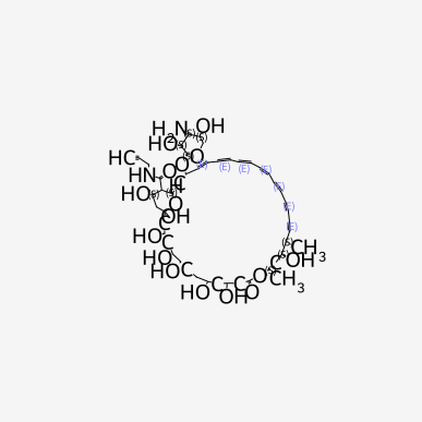 C#CCNC(=O)C1[C@@H]2CC(O[C@@H]3OC[C@@H](O)[C@H](N)[C@@H]3O)/C=C/C=C/C=C/C=C/C=C/C=C/C=C/[C@H](C)[C@@H](O)C[C@H](C)OC(=O)CC(O)CC(O)CCC(O)C(O)CC(O)CC(O)(C[C@@H]1O)O2